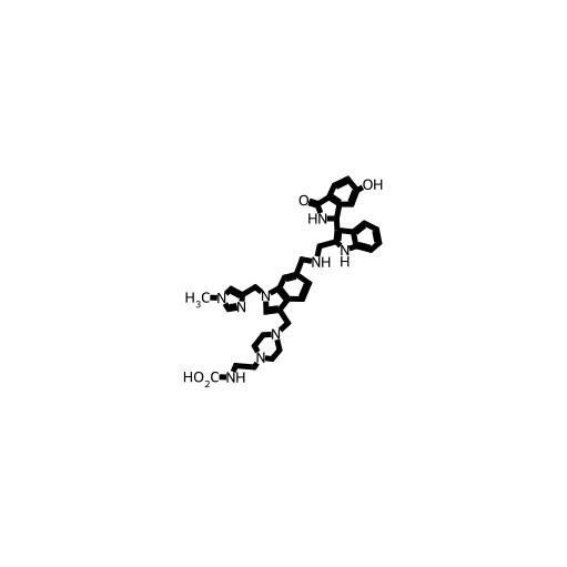 Cn1cnc(Cn2cc(CN3CCN(CCNC(=O)O)CC3)c3ccc(CNCc4[nH]c5ccccc5c4C4NC(=O)c5ccc(O)cc54)cc32)c1